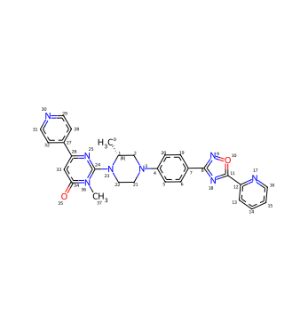 C[C@@H]1CN(c2ccc(-c3noc(-c4ccccn4)n3)cc2)CCN1c1nc(-c2ccncc2)cc(=O)n1C